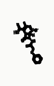 CC1=C(C(=O)O)N2C(=O)[C@@H](NC(=O)COc3ccccc3)[C@H]2[S@@+]([O-])C1